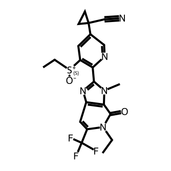 CCn1c(C(F)(F)F)cc2nc(-c3ncc(C4(C#N)CC4)cc3[S@+]([O-])CC)n(C)c2c1=O